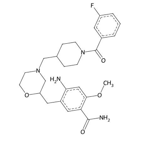 COc1cc(N)c(CC2CN(CC3CCN(C(=O)c4cccc(F)c4)CC3)CCO2)cc1C(N)=O